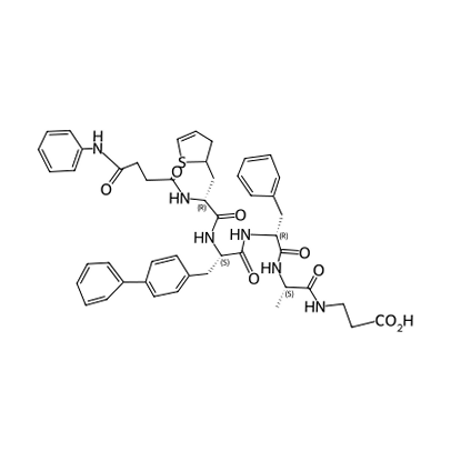 C[C@H](NC(=O)[C@@H](Cc1ccccc1)NC(=O)[C@H](Cc1ccc(-c2ccccc2)cc1)NC(=O)[C@@H](CC1CC=CS1)NC(=O)CCC(=O)Nc1ccccc1)C(=O)NCCC(=O)O